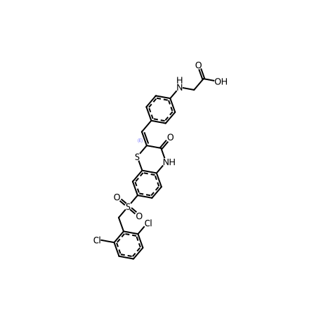 O=C(O)CNc1ccc(/C=C2/Sc3cc(S(=O)(=O)Cc4c(Cl)cccc4Cl)ccc3NC2=O)cc1